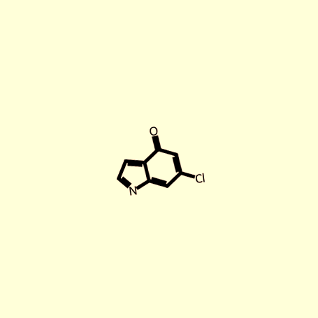 O=C1C=C(Cl)C=C2N=CC=C12